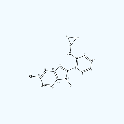 Cn1c(-c2ccncc2OC2CC2)cc2cc(Cl)ncc21